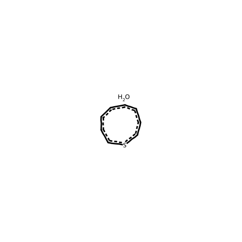 O.c1ccccsccc1